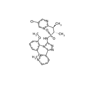 COc1cccc(OC)c1-n1c(NS(=O)(=O)[C@@H](C)[C@H](C)c2ncc(Cl)cn2)nnc1-c1cccnc1